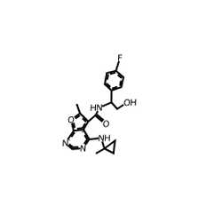 Cc1oc2ncnc(NC3(C)CC3)c2c1C(=O)NC(CO)c1ccc(F)cc1